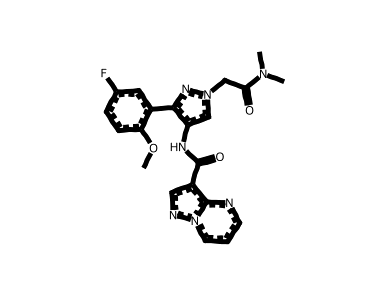 COc1ccc(F)cc1-c1nn(CC(=O)N(C)C)cc1NC(=O)c1cnn2cccnc12